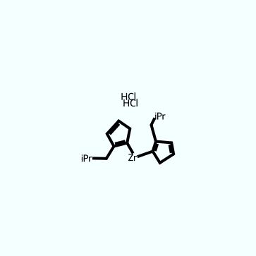 CC(C)CC1=[C]([Zr][C]2=C(CC(C)C)C=CC2)CC=C1.Cl.Cl